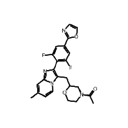 CC(=O)N1CCOC(Cc2c(-c3c(F)cc(-c4ncco4)cc3F)nc3cc(C)ccn23)C1